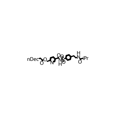 CCCCCCCCCCCC(=O)OCc1ccc(C(=O)NS(=O)(=O)c2ccc(CCNC(=O)C(C)C)cc2)cn1